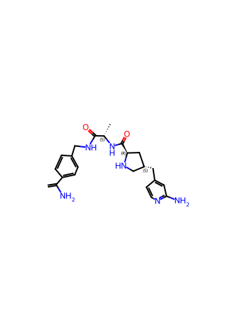 C=C(N)c1ccc(CNC(=O)[C@H](C)NC(=O)[C@H]2C[C@H](Cc3ccnc(N)c3)CN2)cc1